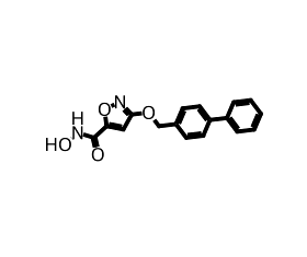 O=C(NO)c1cc(OCc2ccc(-c3ccccc3)cc2)no1